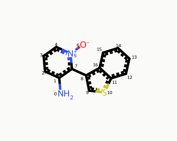 Nc1[c]cc[n+]([O-])c1-c1csc2ccccc12